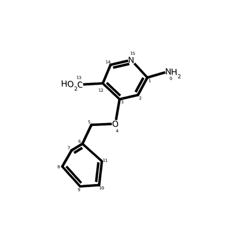 Nc1cc(OCc2ccccc2)c(C(=O)O)cn1